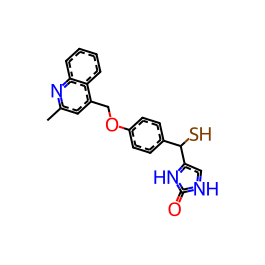 Cc1cc(COc2ccc(C(S)c3c[nH]c(=O)[nH]3)cc2)c2ccccc2n1